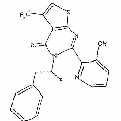 O=c1c2c(C(F)(F)F)csc2nc(-c2ncccc2O)n1C(F)Cc1ccccc1